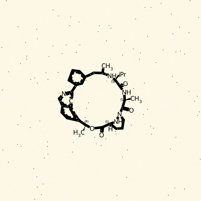 CC1Cc2cccc(c2)-c2cc3cc(ccc3cn2)[C@@H](C)OC(=O)[C@@H]2CCCN(N2)C(=O)[C@H](C)NC(=O)[C@H](C(C)C)N1